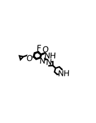 O=c1[nH]c(N2CC(C3CCNCC3)C2)nc2cc(OCC3CC3)cc(F)c12